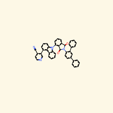 N#Cc1ccncc1-c1cccc2c1c1ccccc1n2-c1cccc2c1C(=O)N(c1ccc(-c3ccccc3)cc1-c1ccccc1)C2=O